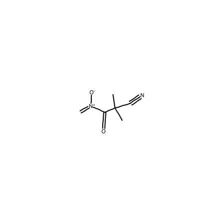 C=[N+]([O-])C(=O)C(C)(C)C#N